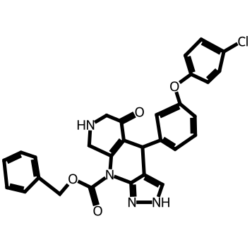 O=C1CNCC2=C1C(c1cccc(Oc3ccc(Cl)cc3)c1)c1c[nH]nc1N2C(=O)OCc1ccccc1